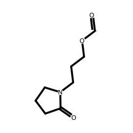 O=[C]OCCCN1CCCC1=O